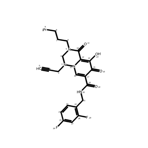 C#CCN1CN(CCCC(C)C)C(=O)c2c(O)c(=O)c(C(=O)NCc3ccc(F)cc3F)cn21